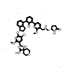 COc1nc(-c2cccc(-c3cccc4c3CC[C@@H]4Oc3nc(OC)c(CNC4(C(=O)O)CCOCC4)cc3Cl)c2Cl)ccc1CNC[C@@H]1CCC(=O)N1